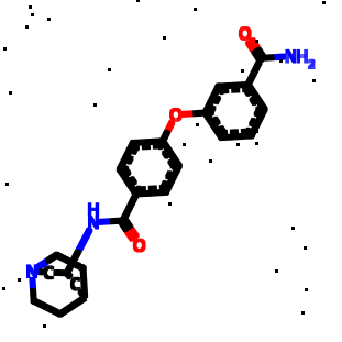 NC(=O)c1cccc(Oc2ccc(C(=O)NC3CC4CCN(CC4)C3)cc2)c1